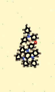 Cc1ccc(N2c3ccc(C)cc3B3c4cc(-n5c6ccccc6c6c7c(c8ccccc8n7-c7ccccc7)c7c(c8ccccc8n7-c7ccccc7)c65)ccc4Oc4cccc2c43)cc1